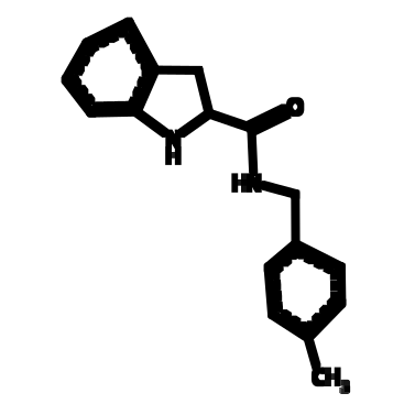 Cc1ccc(CNC(=O)C2Cc3ccccc3N2)cc1